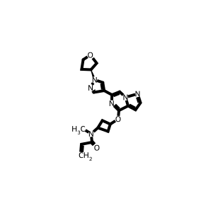 C=CC(=O)N(C)C1CC(Oc2nc(-c3cnn([C@H]4CCOC4)c3)cn3nccc23)C1